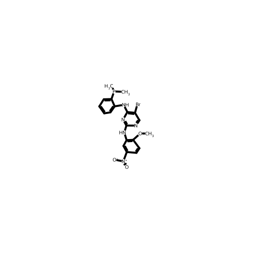 COc1ccc([N+](=O)[O-])cc1Nc1ncc(Br)c(Nc2ccccc2P(C)C)n1